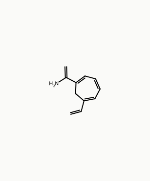 C=CC1=CC=CC=C(C(=C)N)C1